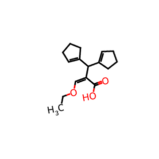 CCOC=C(C(=O)O)C(C1=CCCC1)C1=CCCC1